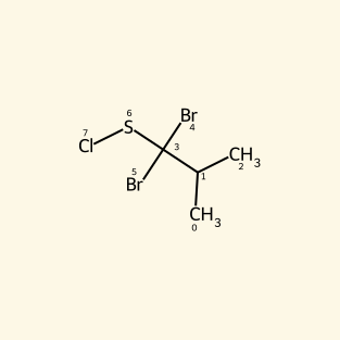 CC(C)C(Br)(Br)SCl